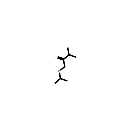 CC(C)O[CH]C(=O)C(C)C